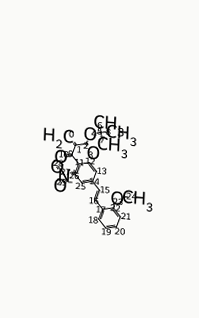 C=C(C(=O)OC(C)(C)C)C(=O)c1ccc(/C=C/c2ccccc2OC)cc1[N+](=O)[O-]